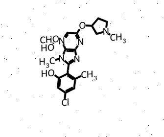 Cc1cc(Cl)cc(O)c1-c1nc2nc(OC3CCN(C)C3)cnc2n1C.O=CO